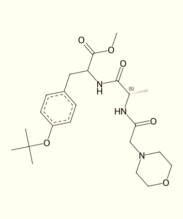 COC(=O)C(Cc1ccc(OC(C)(C)C)cc1)NC(=O)[C@H](C)NC(=O)CN1CCOCC1